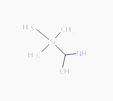 [CH2]C(N)[Si](C)(C)C